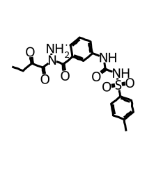 CCC(=O)C(=O)N(N)C(=O)c1[c]ccc(NC(=O)NS(=O)(=O)c2ccc(C)cc2)c1